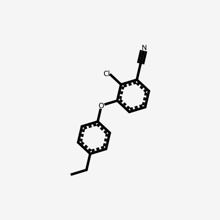 CCc1ccc(Oc2cccc(C#N)c2Cl)cc1